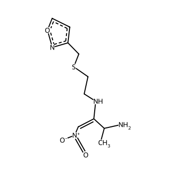 CC(N)C(=C[N+](=O)[O-])NCCSCc1ccon1